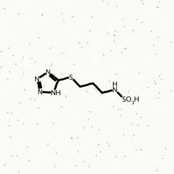 O=S(=O)(O)NCCCSc1nnn[nH]1